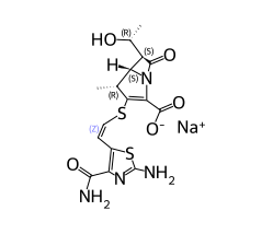 C[C@@H](O)[C@H]1C(=O)N2C(C(=O)[O-])=C(S/C=C\c3sc(N)nc3C(N)=O)[C@H](C)[C@H]12.[Na+]